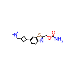 CN(C)C[C@H]1C[C@H](c2ccc3nc(COC(N)=O)sc3c2)C1